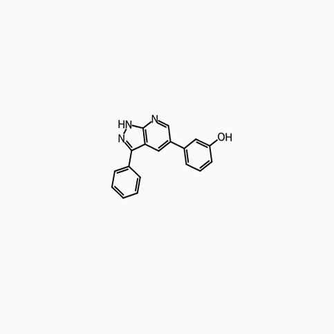 Oc1cccc(-c2cnc3[nH]nc(-c4ccccc4)c3c2)c1